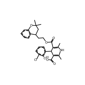 CC1=C(C(=O)O)C(c2cccc(Cl)c2Cl)C(C(=O)OCCC2CC(C)(C)Oc3ccccc32)=C(C)N1